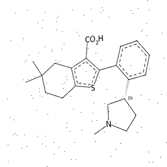 CN1CC[C@@H](c2ccccc2-c2sc3c(c2C(=O)O)CC(C)(C)CC3)C1